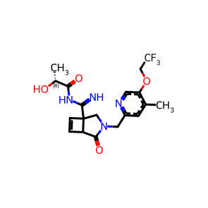 Cc1cc(CN2CC3(C(=N)NC(=O)[C@@H](C)O)C=CC3C2=O)ncc1OCC(F)(F)F